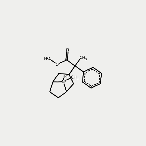 CC(C)[N+]1(C)C2CCC1CC(C(C)(C(=O)OO)c1ccccc1)C2